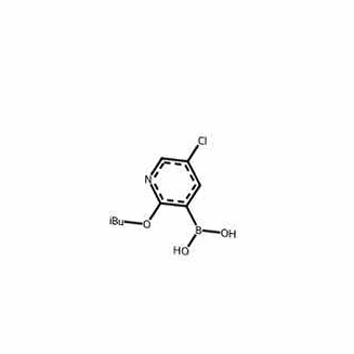 CCC(C)Oc1ncc(Cl)cc1B(O)O